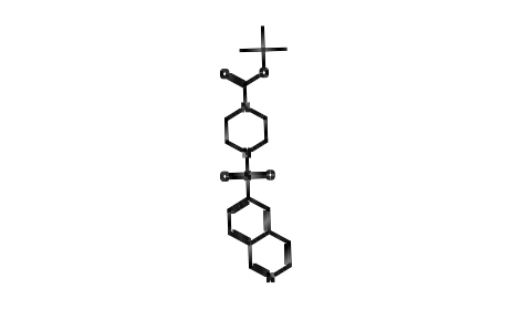 CC(C)(C)OC(=O)N1CCN(S(=O)(=O)c2ccc3cnccc3c2)CC1